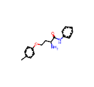 Cc1ccc(OCCC(N)C(=O)Nc2ccccc2)cc1